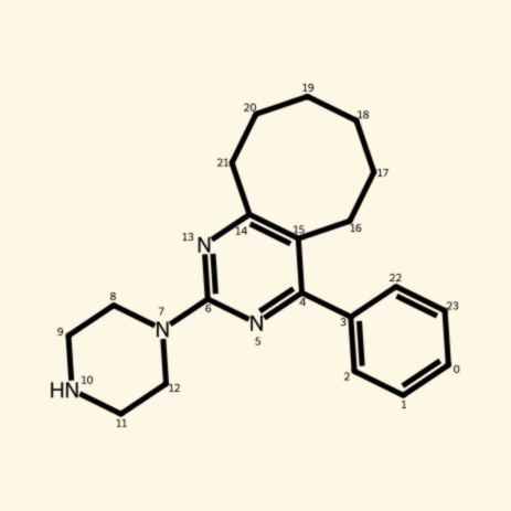 c1ccc(-c2nc(N3CCNCC3)nc3c2CCCCCC3)cc1